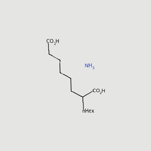 CCCCCCC(CCCCCC(=O)O)C(=O)O.N